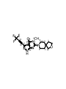 Cn1c(N2CCC3(CCOC3)CC2)nc2[nH]nc(C#CC(F)(F)F)c2c1=O